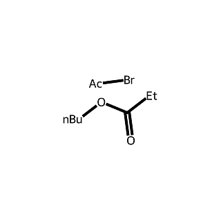 CC(=O)Br.CCCCOC(=O)CC